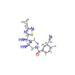 Cc1ccc(C(=O)N2CCN(C(=N)c3nc(C4CC4)ns3)C(=N)C2)cc1C#N